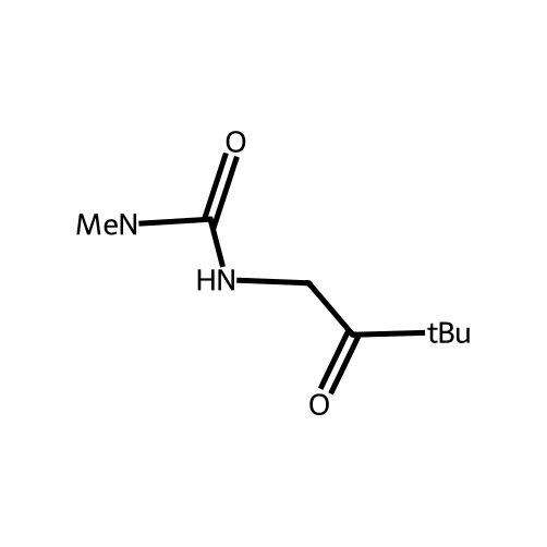 CNC(=O)NCC(=O)C(C)(C)C